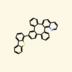 c1ccc2c(c1)-c1cc(-c3cccc4c3sc3ccccc34)ccc1-c1ccccc1-c1c-2ccc2cccnc12